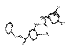 COc1ccc(C(=O)OCc2ccccc2)cc1NC(=S)Nc1cc(Cl)cc(Cl)c1